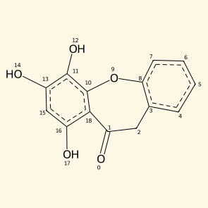 O=C1Cc2ccccc2Oc2c(O)c(O)cc(O)c21